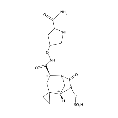 NC(=O)C1CC(ONC(=O)[C@@H]2CC3(CC3)[C@@H]3CN2C(=O)N3OS(=O)(=O)O)CN1